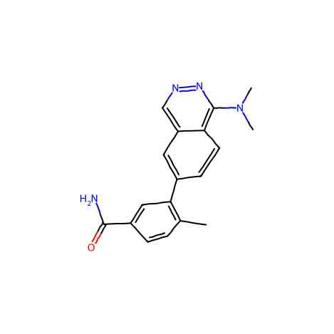 Cc1ccc(C(N)=O)cc1-c1ccc2c(N(C)C)nncc2c1